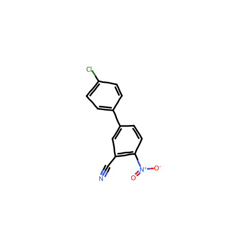 N#Cc1cc(-c2ccc(Cl)cc2)ccc1[N+](=O)[O-]